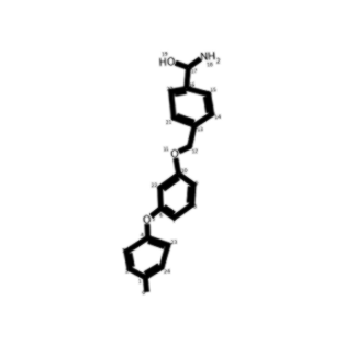 Cc1ccc(Oc2cccc(OCc3ccc(C(N)O)cc3)c2)cc1